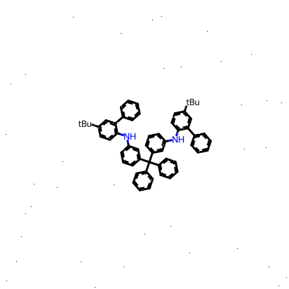 CC(C)(C)c1ccc(Nc2cccc(C(c3ccccc3)(c3ccccc3)c3cccc(Nc4ccc(C(C)(C)C)cc4-c4ccccc4)c3)c2)c(-c2ccccc2)c1